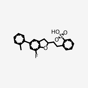 Cc1ccccc1-c1cc(F)c2c(c1)CC(CCc1ccccc1S(=O)(=O)O)O2